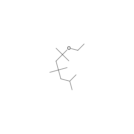 CCOC(C)(C)CC(C)(C)CC(C)C